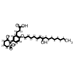 CCCCCCCCC(O)/C=C/CCCCOc1ccc(N2C(=O)CCCS2(=O)=O)cc1CCC(=O)O